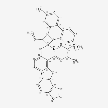 C=CC1C2C(c3cc(C)ccc3-c3ccc(C)c[n+]32)C12Cc1ccc3c(oc4c5ccsc5ccc34)c1-c1cc(C)c(C)c[n+]12